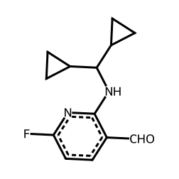 O=Cc1ccc(F)nc1NC(C1CC1)C1CC1